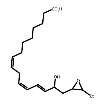 CCC1OC1CC(O)/C=C/C=C\C/C=C\CCCCCCC(=O)O